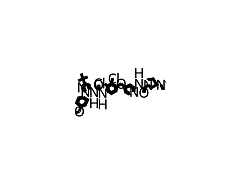 COc1ccc(-n2nc(C(C)(C)C)cc2NC(=O)Nc2ccc(Oc3ccnc(NC(=O)N4CC[C@H](N(C)C)C4)c3)c(Cl)c2Cl)cc1